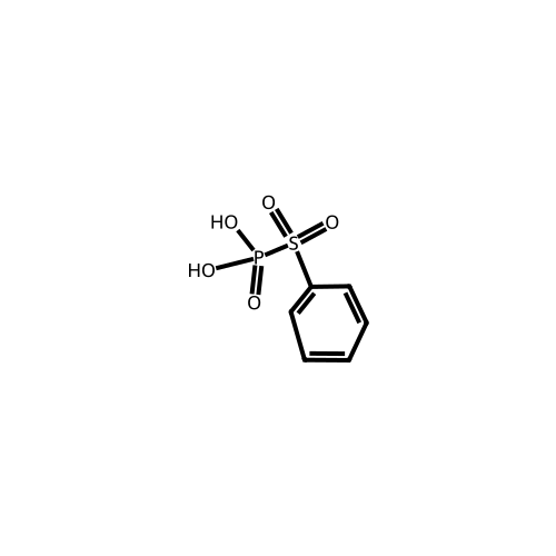 O=P(O)(O)S(=O)(=O)c1ccccc1